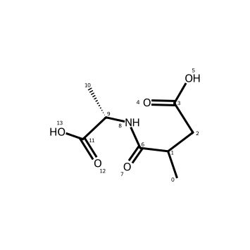 CC(CC(=O)O)C(=O)N[C@@H](C)C(=O)O